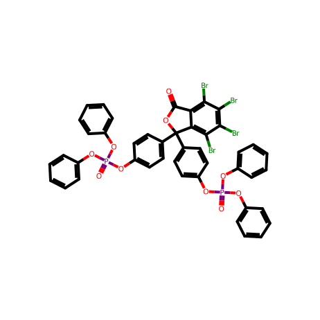 O=C1OC(c2ccc(OP(=O)(Oc3ccccc3)Oc3ccccc3)cc2)(c2ccc(OP(=O)(Oc3ccccc3)Oc3ccccc3)cc2)c2c(Br)c(Br)c(Br)c(Br)c21